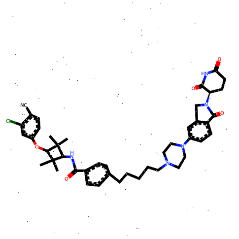 CC1(C)C(NC(=O)c2ccc(CCCCCN3CCN(c4ccc5c(c4)CN([C@@H]4CCC(=O)NC4=O)C5=O)CC3)cc2)C(C)(C)C1Oc1ccc(C#N)c(Cl)c1